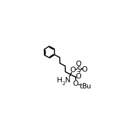 CC(C)(C)OC(=O)C(N)(CCCCc1ccccc1)OS(C)(=O)=O